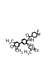 CCOC(C)CNc1cc(-c2cc(C)c(=O)n(C)c2)ccc1NC(=O)C1CCC(F)(F)CC1